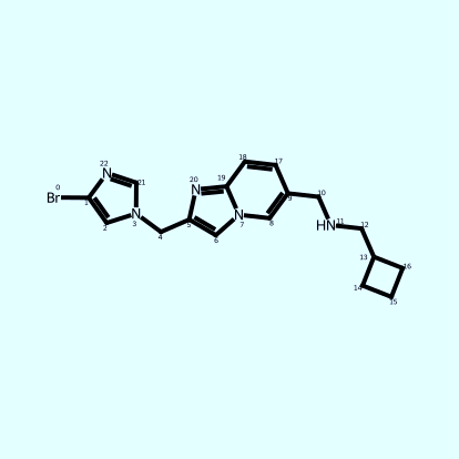 Brc1cn(Cc2cn3cc(CNCC4CCC4)ccc3n2)cn1